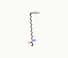 C=CC(=O)NCCCCCCCCCCCC/C=C\CCCCCCCC